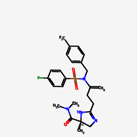 C=C(CCC1=NC[C@](C)(C(=O)N(C)C)N1)N(Cc1ccc(C(F)(F)F)cc1)S(=O)(=O)c1ccc(F)cc1